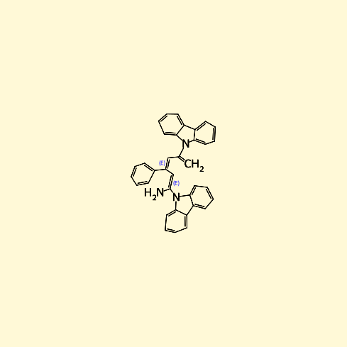 C=C(/C=C(\C=C(/N)n1c2ccccc2c2ccccc21)c1ccccc1)n1c2ccccc2c2ccccc21